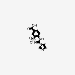 O=C(O)c1ccc2c(c1)S(=O)(=O)N=C(n1ccnc1)N2